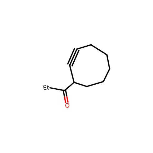 CCC(=O)C1C#CCCCCC1